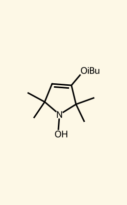 CC(C)COC1=CC(C)(C)N(O)C1(C)C